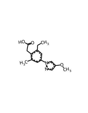 CCc1cc(-n2cc(OC)cn2)cc(C)c1CC(=O)O